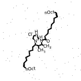 CCCCCCCC/C=C\CCCCCCCC(=O)NC(C)C(C)C(CCCCCC/C=C\CCCCCCCC)[N+]1=CNCC1.[Cl-]